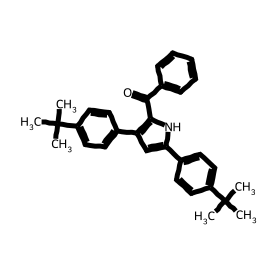 CC(C)(C)c1ccc(-c2cc(-c3ccc(C(C)(C)C)cc3)c(C(=O)c3ccccc3)[nH]2)cc1